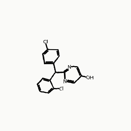 Oc1cnc(C(c2ccc(Cl)cc2)c2ccccc2Cl)nc1